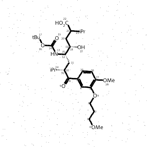 COCCCOc1cc(C(=O)[C@@H](C[C@H](NC(=O)OC(C)(C)C)[C@@H](O)CC(C(=O)O)C(C)C)C(C)C)ccc1OC